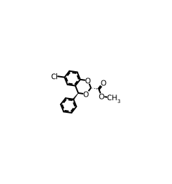 COC(=O)[C@H]1Oc2ccc(Cl)cc2[C@H](c2ccccc2)O1